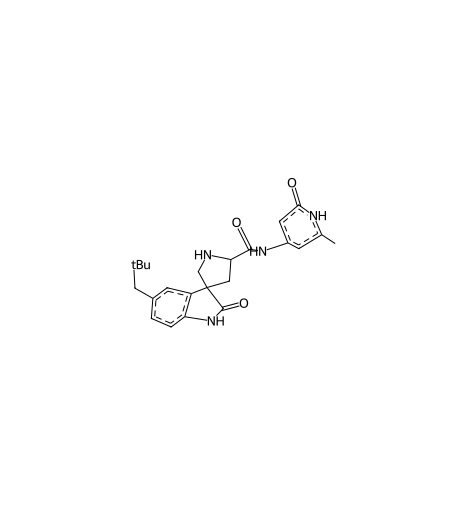 Cc1cc(NC(=O)C2CC3(CN2)C(=O)Nc2ccc(CC(C)(C)C)cc23)cc(=O)[nH]1